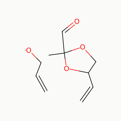 C=CC1COC(C)(C=O)O1.C=CC[O]